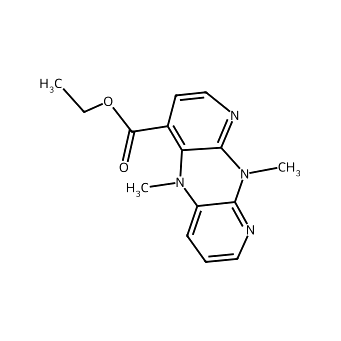 CCOC(=O)c1ccnc2c1N(C)c1cccnc1N2C